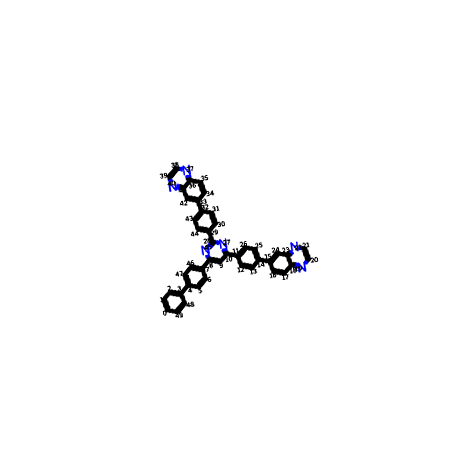 c1ccc(-c2ccc(-c3cc(-c4ccc(-c5ccc6nccnc6c5)cc4)nc(-c4ccc(-c5ccc6nccnc6c5)cc4)n3)cc2)cc1